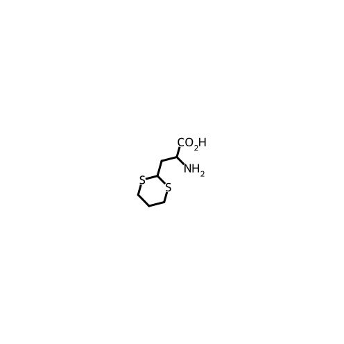 NC(CC1SCCCS1)C(=O)O